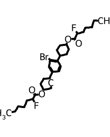 CCCCCC(F)C(=O)OC1CCC(c2ccc(C3CCC(OC(=O)C(F)CCCCC)CC3)c(Br)c2)CC1